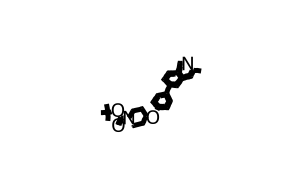 Cc1cc2cc(-c3ccc(OC4CCN(C(=O)OC(C)(C)C)CC4)cc3)ccc2cn1